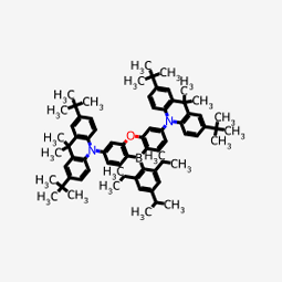 CC(C)c1cc(C(C)C)c(B2c3ccc(N4c5ccc(C(C)(C)C)cc5C(C)(C)c5cc(C(C)(C)C)ccc54)cc3Oc3cc(N4c5ccc(C(C)(C)C)cc5C(C)(C)c5cc(C(C)(C)C)ccc54)ccc32)c(C(C)C)c1